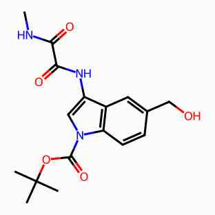 CNC(=O)C(=O)Nc1cn(C(=O)OC(C)(C)C)c2ccc(CO)cc12